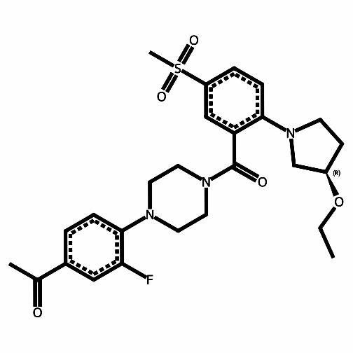 CCO[C@@H]1CCN(c2ccc(S(C)(=O)=O)cc2C(=O)N2CCN(c3ccc(C(C)=O)cc3F)CC2)C1